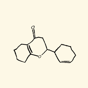 O=C1CC(C2C=CCCC2)OC2=C1CCCC2